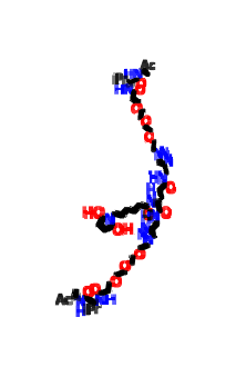 CC(=O)[C@H](C)NC(=O)[C@@H](NC(=O)CCOCCOCCOCCn1cc(CNC(=O)CC[C@H](NC(=O)CCCCCN2C(O)C=CC2O)C(=O)NCc2cn(CCOCCOCCOCCC(=O)N[C@H](C(=O)N[C@@H](C)C(C)=O)C(C)C)nn2)nn1)C(C)C